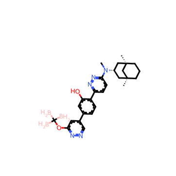 BC(B)(B)Oc1cc(-c2ccc(-c3ccc(N(C)[C@H]4C[C@]5(C)CCC[C@](C)(C4)C5)nn3)c(O)c2)cnn1